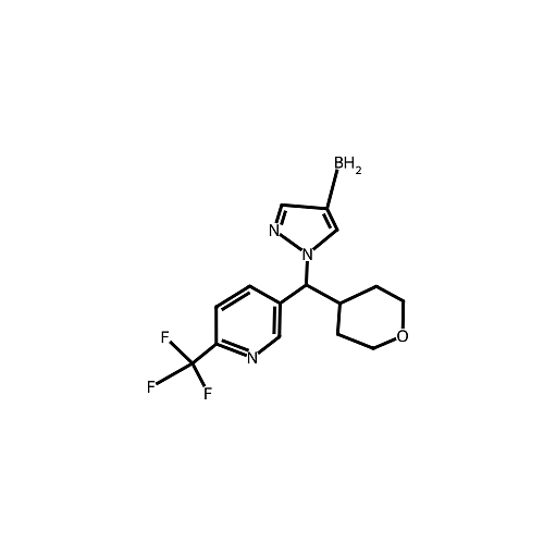 Bc1cnn(C(c2ccc(C(F)(F)F)nc2)C2CCOCC2)c1